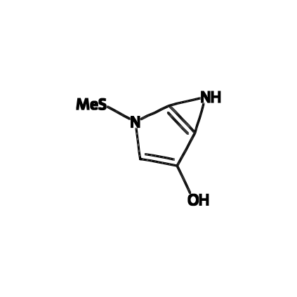 CSn1cc(O)c2c1N2